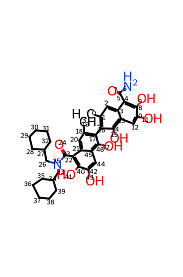 Cc1cc2c(C(N)=O)c(O)c(O)cc2c(O)c1-c1c(C)cc2c(C(=O)N(CC3CCCCC3)CC3CCCCC3)c(O)c(O)cc2c1O